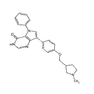 CN1CCC(COc2ccc(-c3cn(-c4ccccc4)c4c(=O)[nH]cnc34)cc2)C1